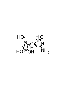 Nc1cc[nH]c(=O)n1.OC[C@H]1OC(O)[C@H](O)[C@@H]1O